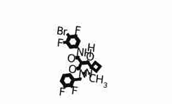 CN1N(Cc2cccc(F)c2F)C(=O)C(C(=O)Nc2cc(F)c(Br)c(F)c2)=C(O)C12CCC2